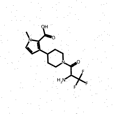 Cn1ccc(C2CCN(C(=O)C(N)C(F)(F)F)CC2)c1C(=O)O